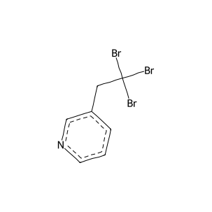 BrC(Br)(Br)Cc1cccnc1